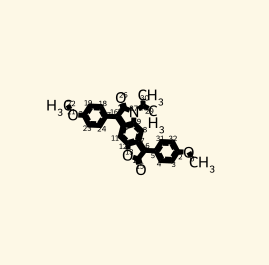 COc1ccc(C2=c3cc4c(cc3OC2=O)=C(c2ccc(OC)cc2)C(=O)N4C(C)C)cc1